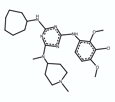 COc1ccc(Nc2nc(NC3CCCCCC3)nc(N(C)C3CCN(C)CC3)n2)c(OC)c1Cl